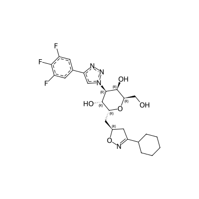 OC[C@H]1O[C@H](C[C@H]2CC(C3CCCCC3)=NO2)[C@H](O)[C@@H](n2cc(-c3cc(F)c(F)c(F)c3)nn2)[C@H]1O